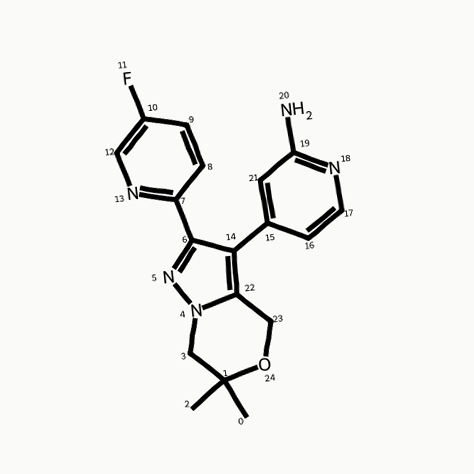 CC1(C)Cn2nc(-c3ccc(F)cn3)c(-c3ccnc(N)c3)c2CO1